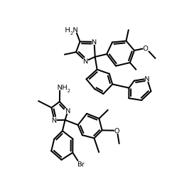 COc1c(C)cc(C2(c3cccc(-c4cccnc4)c3)N=C(C)C(N)=N2)cc1C.COc1c(C)cc(C2(c3cccc(Br)c3)N=C(C)C(N)=N2)cc1C